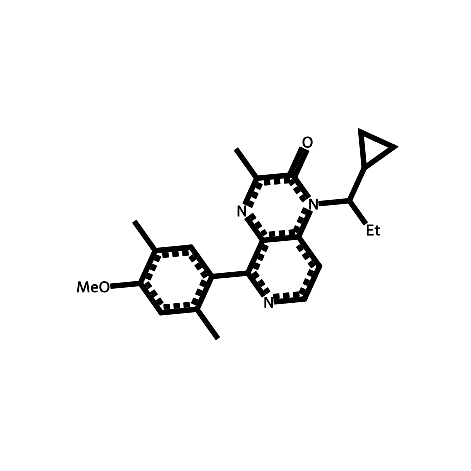 CCC(C1CC1)n1c(=O)c(C)nc2c(-c3cc(C)c(OC)cc3C)nccc21